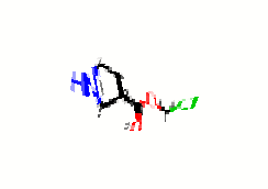 O=C(OCCl)C1CCNC1